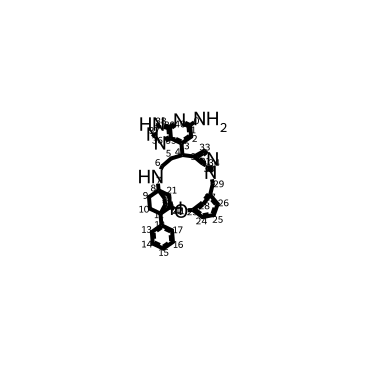 Nc1cc(C2CCNC34CCC(c5ccccc5)(CC3)[C@H](C4)Oc3cccc(c3)Cn3cc2cn3)c2nn[nH]c2n1